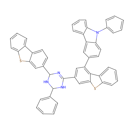 c1ccc(C2NC(c3cc(-c4ccc5c(c4)c4ccccc4n5-c4ccccc4)c4c(c3)sc3ccccc34)=NC(c3ccc4c(c3)sc3ccccc34)N2)cc1